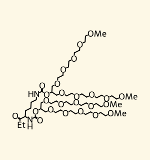 CCC(=O)C(CCCCNC(=O)OC(COCCOCCOCCOCCOC)COCCOCCOCCOCCOC)NC(=O)OC(COCCOCCOCCOCCOC)COCCOCCOCCOCCOC